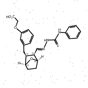 O=C(O)COc1cccc(C[C@H]2[C@@H](C=NNC(=S)Nc3ccccc3)[C@H]3CC[C@@H]2O3)c1